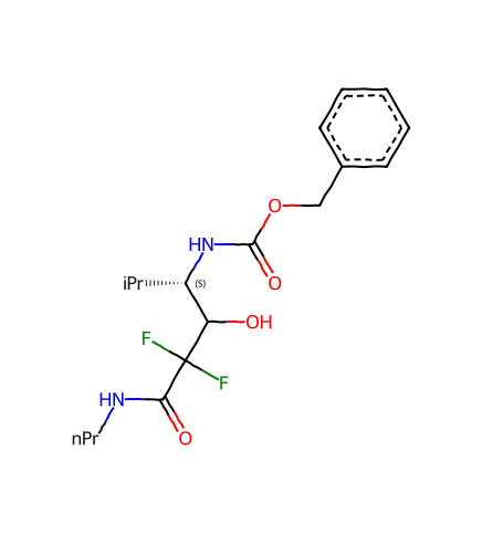 CCCNC(=O)C(F)(F)C(O)[C@@H](NC(=O)OCc1ccccc1)C(C)C